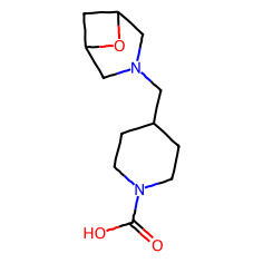 O=C(O)N1CCC(CN2CC3CC(C2)O3)CC1